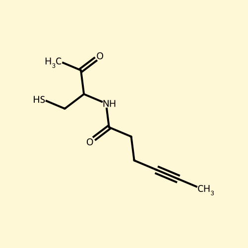 CC#CCCC(=O)NC(CS)C(C)=O